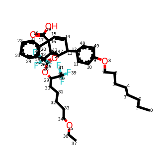 CCCCCCCCOc1ccc(C2C=CC(C(=O)O)(c3ccccc3C(=O)OC(CCCCCOCC)C(F)(F)F)C(C(F)(F)F)=C2)cc1